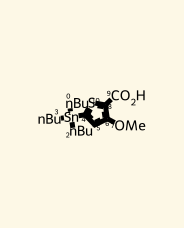 CCC[CH2][Sn]([CH2]CCC)([CH2]CCC)[c]1cc(OC)c(C(=O)O)s1